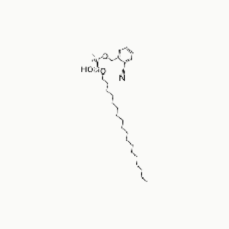 CCCCCCCCCCCCCCCCCCO[C@H](O)[C@H](C)OCc1ccccc1C#N